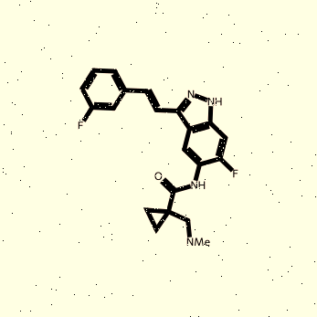 CNCC1(C(=O)Nc2cc3c(/C=C/c4cccc(F)c4)n[nH]c3cc2F)CC1